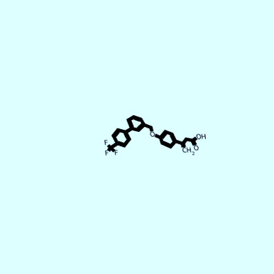 C=C(CC(=O)O)c1ccc(OCc2cccc(-c3ccc(C(F)(F)F)cc3)c2)cc1